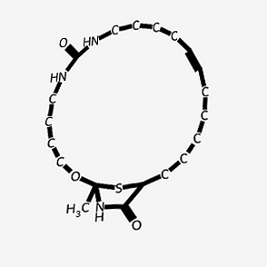 CC12NC(=O)C(CCCCC/C=C\CCCCNC(=O)NCCCCO1)S2